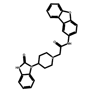 O=C(CN1CCC(n2c(=O)[nH]c3ccccc32)CC1)Nc1ccc2oc3ccccc3c2c1